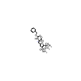 CC(C)(C)c1oc(/C=C(/NC(=O)OCc2ccccc2)C(=O)O)cc1S(N)(=O)=O